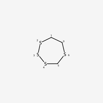 C1CSSSCS1